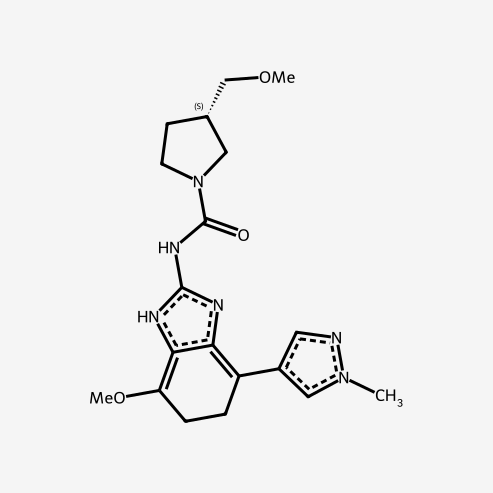 COC[C@H]1CCN(C(=O)Nc2nc3c([nH]2)=C(OC)CCC=3c2cnn(C)c2)C1